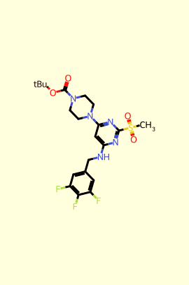 CC(C)(C)OC(=O)N1CCN(c2cc(NCc3cc(F)c(F)c(F)c3)nc(S(C)(=O)=O)n2)CC1